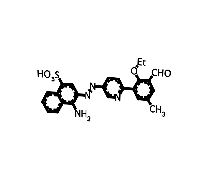 CCOc1c(C=O)cc(C)cc1-c1ccc(/N=N/c2cc(S(=O)(=O)O)c3ccccc3c2N)cn1